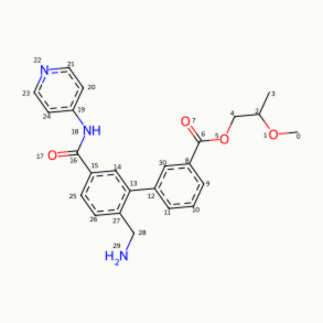 COC(C)COC(=O)c1cccc(-c2cc(C(=O)Nc3ccncc3)ccc2CN)c1